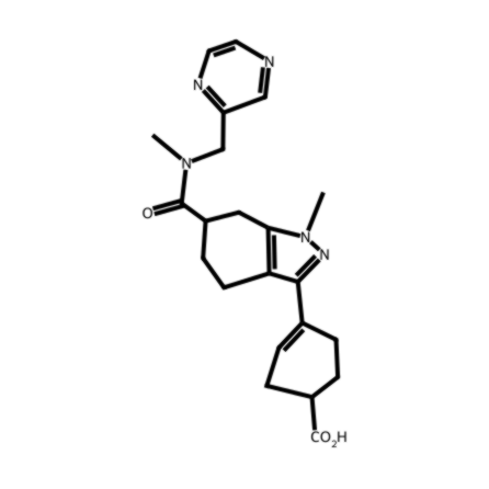 CN(Cc1cnccn1)C(=O)C1CCc2c(C3=CCC(C(=O)O)CC3)nn(C)c2C1